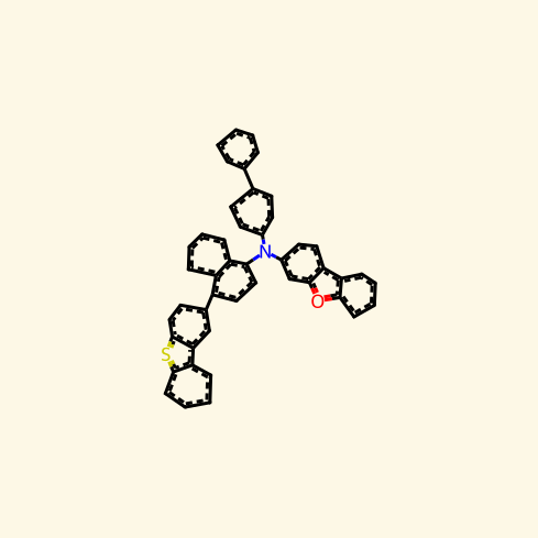 c1ccc(-c2ccc(N(c3ccc4c(c3)oc3ccccc34)c3ccc(-c4ccc5sc6ccccc6c5c4)c4ccccc34)cc2)cc1